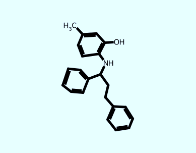 Cc1ccc(NC(CCc2ccccc2)c2ccccc2)c(O)c1